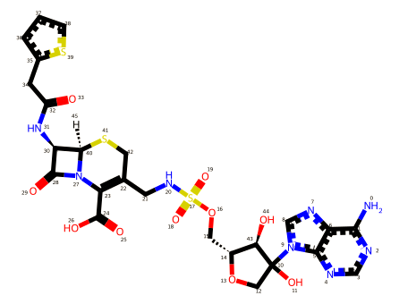 Nc1ncnc2c1ncn2C1(O)CO[C@H](COS(=O)(=O)NCC2=C(C(=O)O)N3C(=O)[C@@H](NC(=O)Cc4cccs4)[C@H]3SC2)[C@H]1O